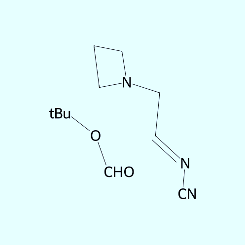 CC(C)(C)OC=O.N#CN=CCN1CCC1